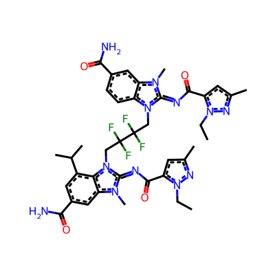 CCn1nc(C)cc1C(=O)/N=c1\n(C)c2cc(C(N)=O)ccc2n1CC(F)(F)C(F)(F)Cn1/c(=N/C(=O)c2cc(C)nn2CC)n(C)c2cc(C(N)=O)cc(C(C)C)c21